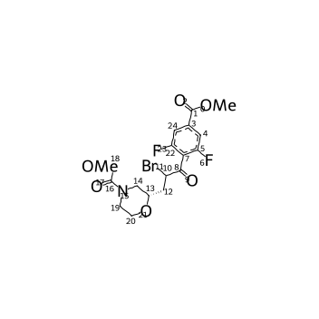 COC(=O)c1cc(F)c(C(=O)C(Br)C[C@H]2CN(C(=O)OC)CCO2)c(F)c1